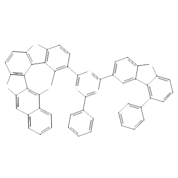 c1ccc(-c2nc(-c3ccc4sc5cccc(-c6ccccc6)c5c4c3)nc(-c3ccc4oc5ccc6sc7cc8ccccc8c8sc3c4c5c6c78)n2)cc1